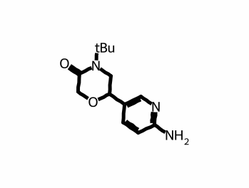 CC(C)(C)N1CC(c2ccc(N)nc2)OCC1=O